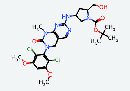 COc1cc(OC)c(Cl)c(N2Cc3cnc(N[C@H]4C[C@@H](CO)N(C(=O)OC(C)(C)C)C4)nc3N(C)C2=O)c1Cl